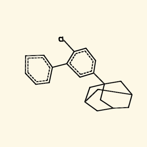 Clc1ccc(C23CC4CC(CC(C4)C2)C3)cc1-c1ccccc1